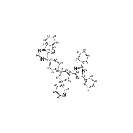 c1ccc(-c2nc(-c3ccccc3)nc(-c3cc(-c4ccc(-c5ncnc6c5oc5ccccc56)cc4)cc(-c4cccnc4)c3)n2)cc1